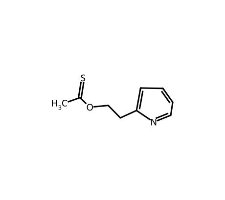 CC(=S)OCCc1ccccn1